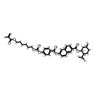 C=C(C)C(=O)OCCCCCCOC(=O)Oc1ccc(C(=O)Oc2ccc3cc(C(=O)OC4CC(C)CCC4C(C)C)ccc3c2)cc1